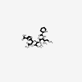 CC[C@H](C)[C@H](NC(=O)[C@H]1CCCCN1)C(=O)N(C)[C@H](C[C@@H](CC(C)=O)c1nc(C(=O)O)cs1)C(C)C